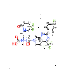 O=C(O)N[C@@H](CC(O)N1CCc2c(nc(-c3ccc(F)cc3)nc2C(F)(F)F)C1)CN1CC(F)(F)CCC1=O